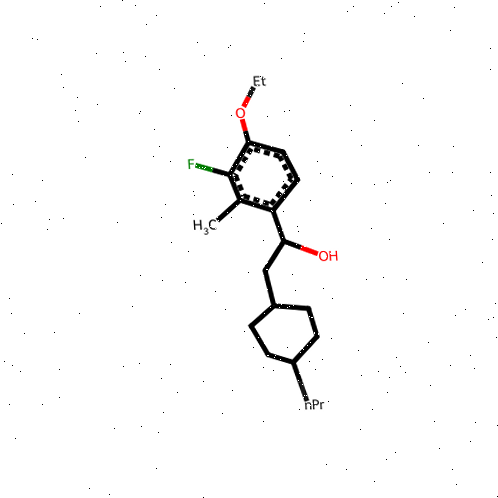 CCCC1CCC(CC(O)c2ccc(OCC)c(F)c2C)CC1